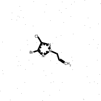 C=CCn1nc(Cl)c(Br)n1